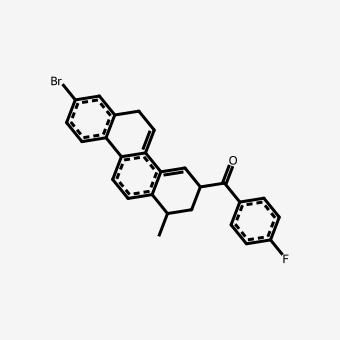 CC1CC(C(=O)c2ccc(F)cc2)C=c2c1ccc1c2=CCc2cc(Br)ccc2-1